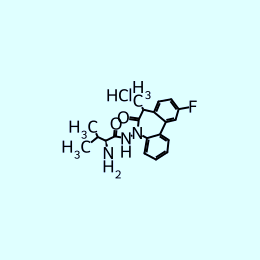 CC1C(=O)N(NC(=O)[C@@H](N)C(C)C)c2ccccc2-c2cc(F)ccc21.Cl